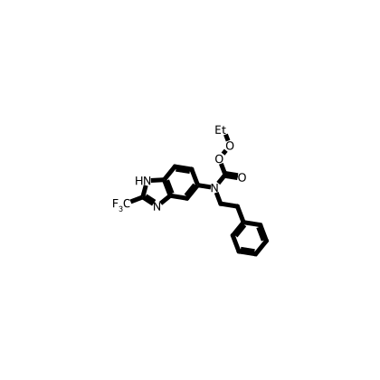 CCOOC(=O)N(CCc1ccccc1)c1ccc2[nH]c(C(F)(F)F)nc2c1